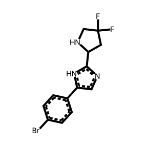 FC1(F)CNC(c2ncc(-c3ccc(Br)cc3)[nH]2)C1